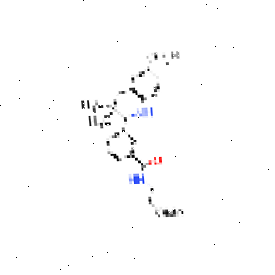 COCCNC(=O)c1cccc(C2Nc3ccc(C(=O)O)cc3CC2(C)C)c1